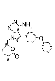 C=C1CC[C@@H](Cn2nc(-c3ccc(Oc4ccccc4)cc3)c3c(N)ncnc32)OC1=O